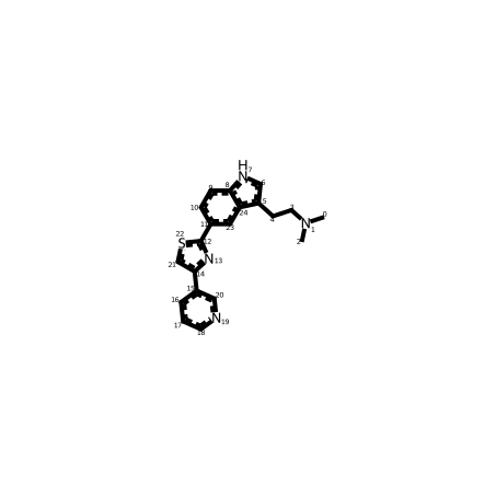 CN(C)CCc1c[nH]c2ccc(-c3nc(-c4cccnc4)cs3)cc12